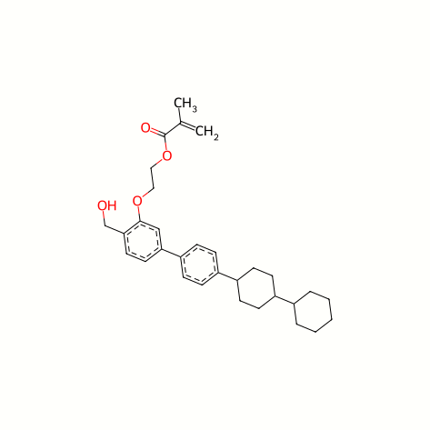 C=C(C)C(=O)OCCOc1cc(-c2ccc(C3CCC(C4CCCCC4)CC3)cc2)ccc1CO